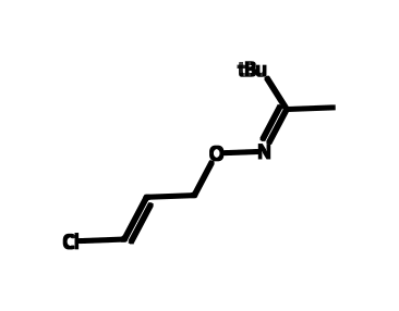 C/C(=N/OC/C=C/Cl)C(C)(C)C